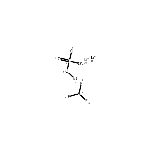 CCOP(=O)([O-])[O-].FB(F)F.[Li+].[Li+]